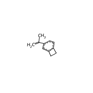 C=C(C)c1ccc2c(c1)CC2